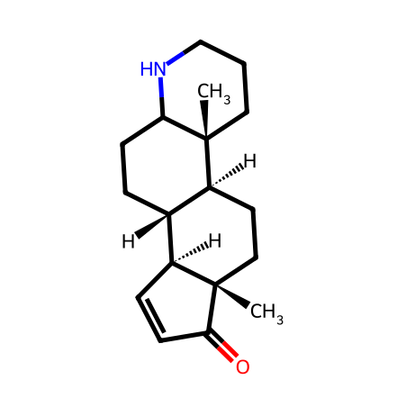 C[C@]12CCCNC1CC[C@@H]1[C@@H]2CC[C@]2(C)C(=O)C=C[C@@H]12